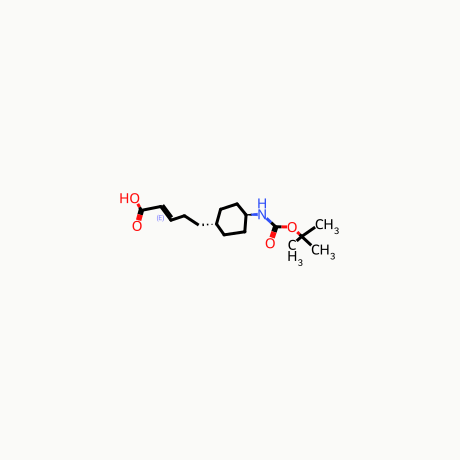 CC(C)(C)OC(=O)N[C@H]1CC[C@H](CC/C=C/C(=O)O)CC1